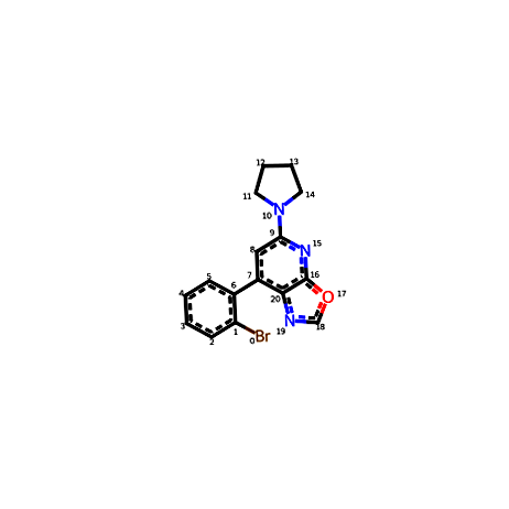 Brc1ccccc1-c1cc(N2CCCC2)nc2ocnc12